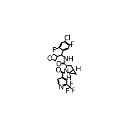 O=C(NC(c1cc(F)c(Cl)cc1F)C1COC1)[C@H]1C[C@H]2C[C@H]2N1C(=O)c1ccnc(C(F)(F)F)c1